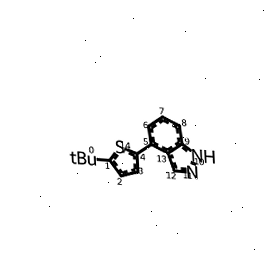 CC(C)(C)c1ccc(-c2cccc3[nH]ncc23)s1